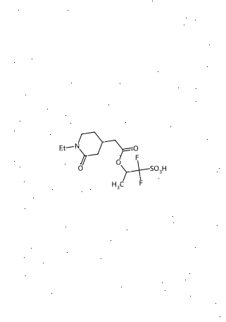 CCN1CCC(CC(=O)OC(C)C(F)(F)S(=O)(=O)O)CC1=O